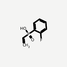 C=CP(=O)(O)c1ccccc1F